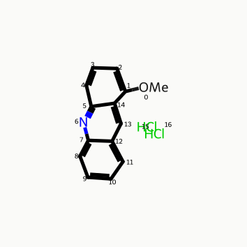 COc1cccc2nc3ccccc3cc12.Cl.Cl